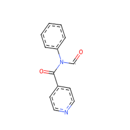 O=[C]N(C(=O)c1ccncc1)c1ccccc1